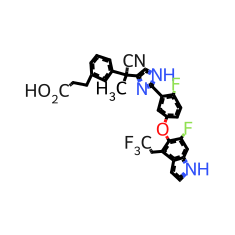 CC(C#N)(c1cccc(CCC(=O)O)c1)c1c[nH]c(-c2cc(Oc3c(F)cc4[nH]ccc4c3CC(F)(F)F)ccc2F)n1